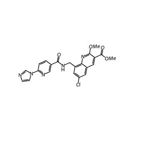 COC(=O)c1cc2cc(Cl)cc(CNC(=O)c3ccc(-n4ccnc4)nc3)c2nc1OC